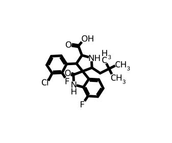 CC(C)(C)CC1NC(C(=O)O)C(c2cccc(Cl)c2F)C12C(=O)Nc1c(F)cccc12